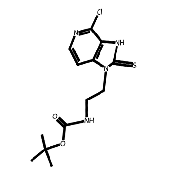 CC(C)(C)OC(=O)NCCn1c(=S)[nH]c2c(Cl)nccc21